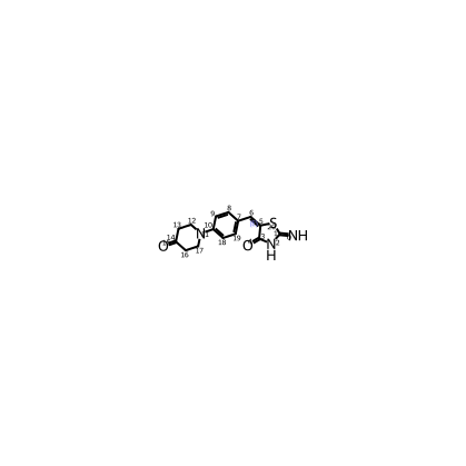 N=C1NC(=O)/C(=C\c2ccc(N3CCC(=O)CC3)cc2)S1